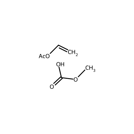 C=COC(C)=O.COC(=O)O